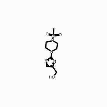 CS(=O)(=O)N1CCN(c2nc(CO)cs2)CC1